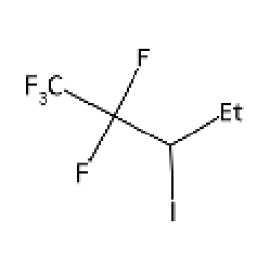 CCC(I)C(F)(F)C(F)(F)F